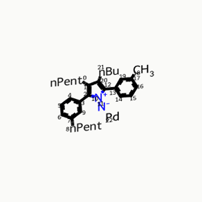 CCCCCC1=C(c2cccc(CCCCC)c2)[N+](=[N-])C(c2cccc(C)c2)=C1CCCC.[Pd]